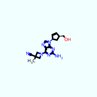 CC1(C#N)CN(c2nc(N)nc3c2ncn3[C@H]2C=C[C@@H](CO)C2)C1